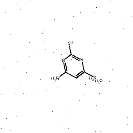 Nc1cc(N)nc(S)n1.O